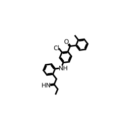 CCC(=N)Cc1ccccc1Nc1ccc(C(=O)c2ccccc2C)c(Cl)c1